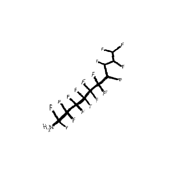 NC(F)(F)C(F)(F)C(F)(F)C(F)(F)C(F)(F)C(F)(F)C(F)C(F)C(F)C(F)F